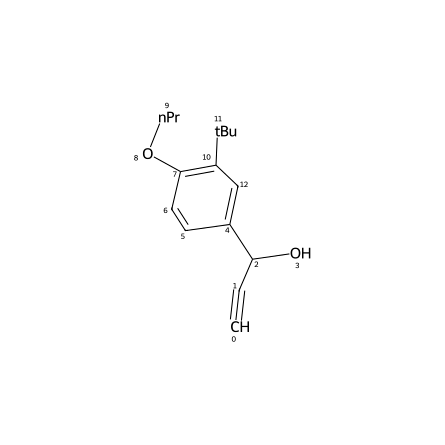 C#CC(O)c1ccc(OCCC)c(C(C)(C)C)c1